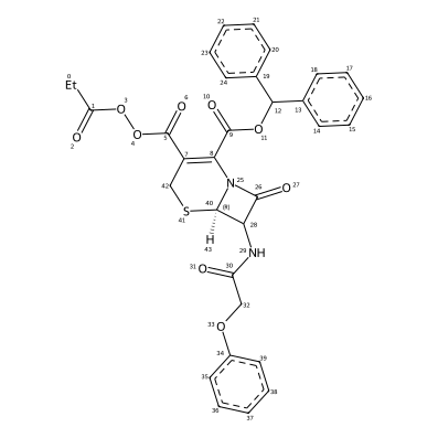 CCC(=O)OOC(=O)C1=C(C(=O)OC(c2ccccc2)c2ccccc2)N2C(=O)C(NC(=O)COc3ccccc3)[C@H]2SC1